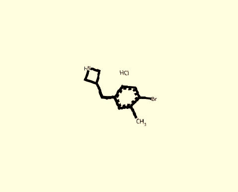 Cc1cc(CC2CNC2)ccc1Br.Cl